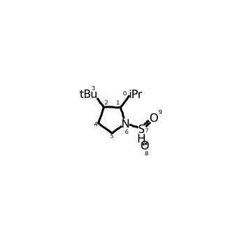 CC(C)C1C(C(C)(C)C)CCN1[SH](=O)=O